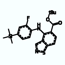 CC(C)(C)OC(=O)c1ccc2sncc2c1Nc1ccc([Si](C)(C)C)cc1F